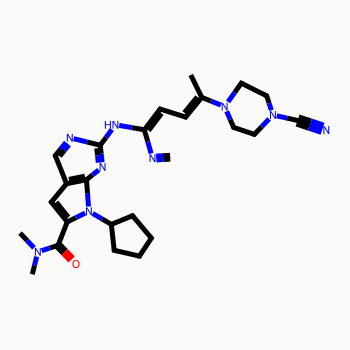 C=N/C(=C\C=C(/C)N1CCN(C#N)CC1)Nc1ncc2cc(C(=O)N(C)C)n(C3CCCC3)c2n1